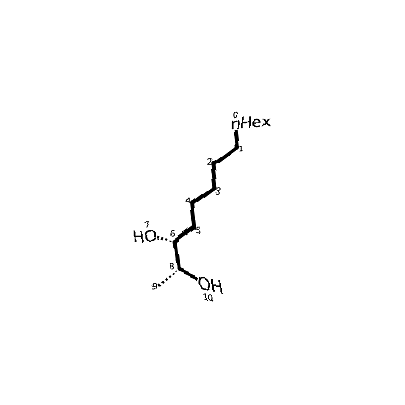 CCCCCCCCCCC[C@@H](O)[C@@H](C)O